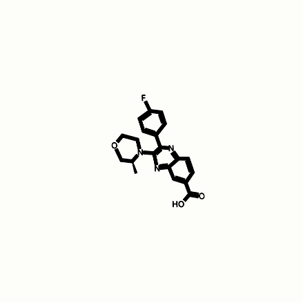 C[C@H]1COCCN1c1nc2cc(C(=O)O)ccc2nc1-c1ccc(F)cc1